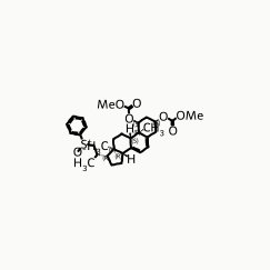 COC(=O)O[C@@H]1CC2=CC=C3[C@@H]4CC[C@H](C(C)C[S+]([O-])c5ccccc5)[C@@]4(C)CC[C@@H]3[C@@]2(C)[C@@H](OC(=O)OC)C1